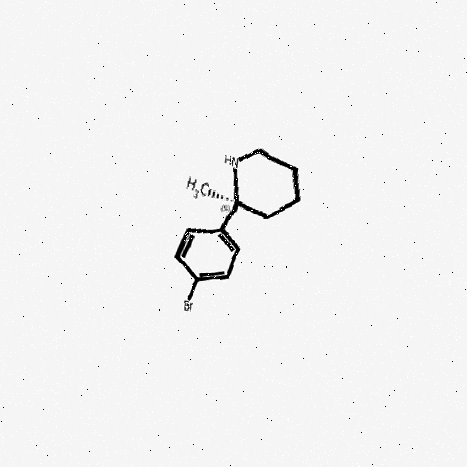 C[C@@]1(c2ccc(Br)cc2)CCCCN1